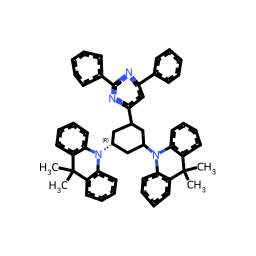 CC1(C)c2ccccc2N(C2CC(c3cc(-c4ccccc4)nc(-c4ccccc4)n3)C[C@@H](N3c4ccccc4C(C)(C)c4ccccc43)C2)c2ccccc21